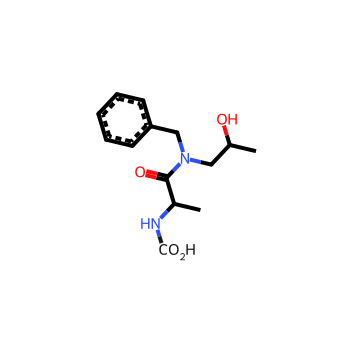 CC(O)CN(Cc1ccccc1)C(=O)C(C)NC(=O)O